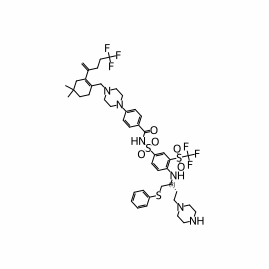 C=C(CCC(F)(F)F)C1=C(CN2CCN(c3ccc(C(=O)NS(=O)(=O)c4ccc(N[C@H](CCN5CCNCC5)CSc5ccccc5)c(S(=O)(=O)C(F)(F)F)c4)cc3)CC2)CCC(C)(C)C1